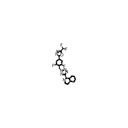 Fc1cc(-c2nnc(C(F)F)o2)cc(F)c1Cn1nnc(-c2nccc3ccccc23)n1